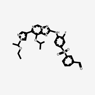 CCOC(C)n1cc(-c2ncn3nc(Nc4ccc(S(=O)(=O)c5cccc(C=O)c5)cc4F)nc3c2OC(C)C)cn1